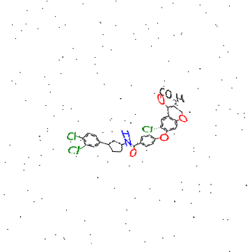 O=C(O)OC1CCOc2cc(Oc3ccc(C(=O)NC4CCC(c5ccc(Cl)c(Cl)c5)C4)cc3)c(Cl)cc21